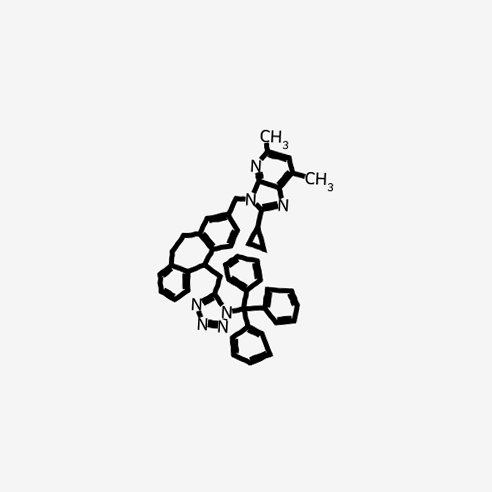 Cc1cc(C)c2nc(C3CC3)n(Cc3ccc4c(c3)CCc3ccccc3C4Cc3nnnn3C(c3ccccc3)(c3ccccc3)c3ccccc3)c2n1